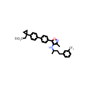 CCOC(=O)CC1(c2ccc(-c3ccc(-c4onc(C)c4NC(C)CCc4cccc(C(F)(F)F)c4)cc3)cc2)CC1